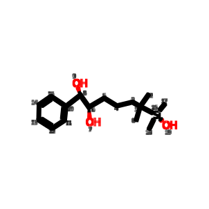 CC(C)(CCC[C@@H](O)[C@H](O)c1ccccc1)[Si](C)(C)O